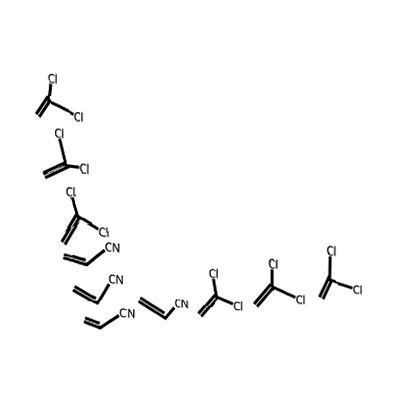 C=C(Cl)Cl.C=C(Cl)Cl.C=C(Cl)Cl.C=C(Cl)Cl.C=C(Cl)Cl.C=C(Cl)Cl.C=CC#N.C=CC#N.C=CC#N.C=CC#N